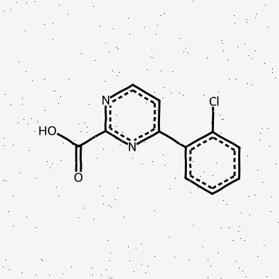 O=C(O)c1nccc(-c2ccccc2Cl)n1